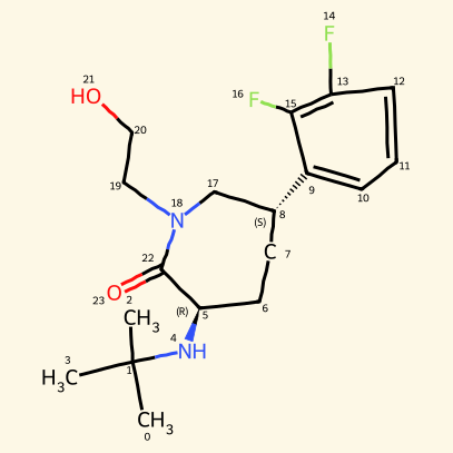 CC(C)(C)N[C@@H]1CC[C@@H](c2cccc(F)c2F)CN(CCO)C1=O